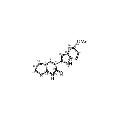 COc1ccc2[nH]c(-c3cc4ccccc4[nH]c3=O)cc2n1